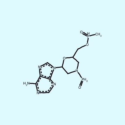 C[PH](=O)OCC1CN([PH2]=O)CC(n2cnc3c(N)ncnc32)O1